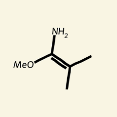 COC(N)=C(C)C